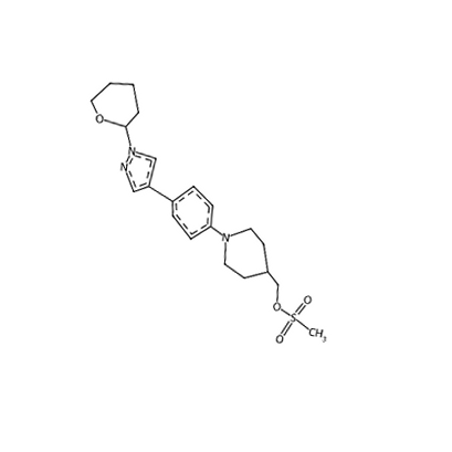 CS(=O)(=O)OCC1CCN(c2ccc(-c3cnn(C4CCCCO4)c3)cc2)CC1